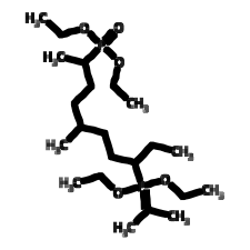 CCOP(=O)(OCC)C(C)CCC(C)CCC(CC)P(OCC)(OCC)=C(C)C